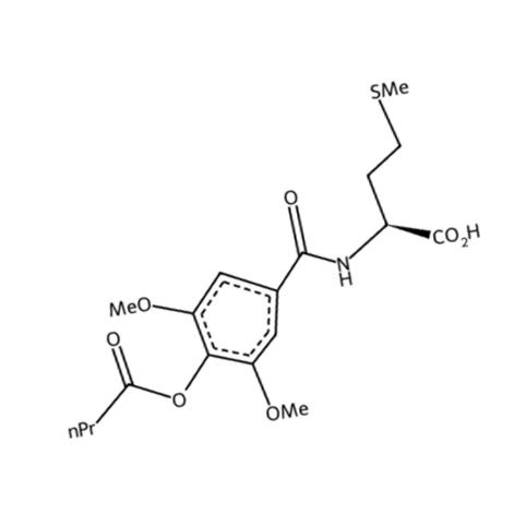 CCCC(=O)Oc1c(OC)cc(C(=O)N[C@@H](CCSC)C(=O)O)cc1OC